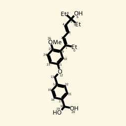 CCC(=CC=CC(O)(CC)CC)c1cc(OCc2ccc(C(O)O)cc2)ccc1OC